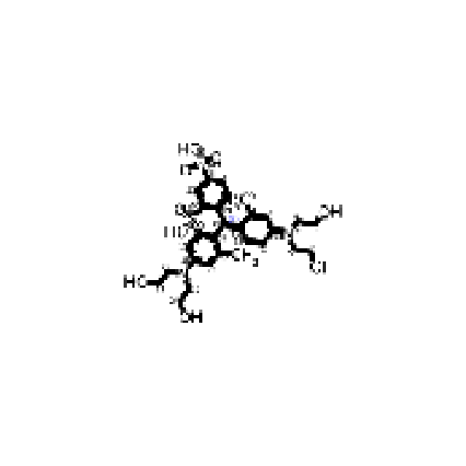 CC1=CC(=[N+](CCO)CCO)C=C/C1=C(\c1ccc(N(CCO)CCO)cc1C)c1ccc(S(=O)(=O)O)cc1S(=O)(=O)O